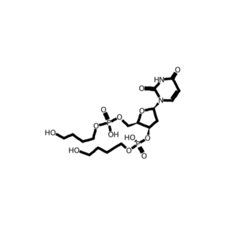 O=c1ccn([C@H]2C[C@@H](OP(=O)(O)OCCCCO)[C@@H](COP(=O)(O)OCCCCO)O2)c(=O)[nH]1